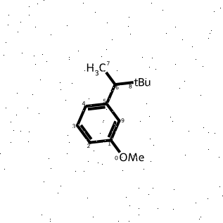 COc1cccc(C(C)C(C)(C)C)c1